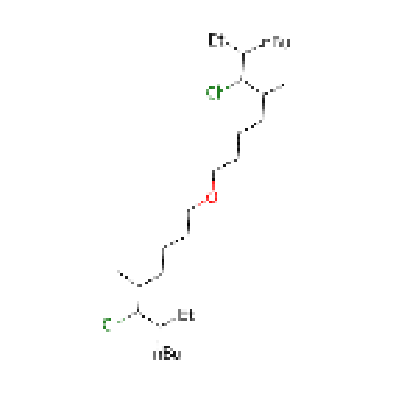 CCCCC(CC)C(Cl)C(C)CCCCOCCCCC(C)C(Cl)C(CC)CCCC